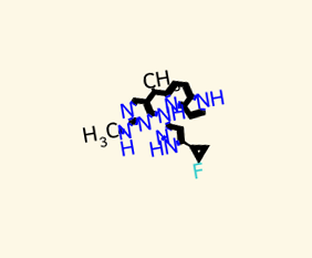 CNc1ncc([C@@H](C)c2ccc3[nH]ccc3n2)c(Nc2cc([C@H]3C[C@H]3F)[nH]n2)n1